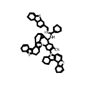 N#CC1=C(N2C3=C(C4CCCCC42)C2C4=C(C=CCC4)SC2C=C3)CC2C(C1)C(NC(NCC1=CCC3C(C1)SC1=CCCCC13)C1=CCCCC1)C1=C3c4c(c5c(n42)CCc2sc4c(c2-5)C=CCC4)CCC31